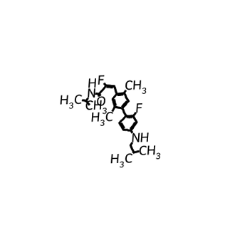 Cc1cc(-c2ccc(NCC(C)C)cc2F)c(C)cc1/C=C(/F)C(=O)NC(C)C